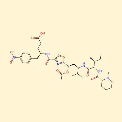 CC[C@H](C)[C@H](NC(=O)[C@H]1CCCCN1C)C(=O)N[C@H](C[C@@H](OC(C)=O)c1nc(C(=O)N[C@@H](Cc2ccc([N+](=O)[O-])cc2)C[C@@H](C)C(=O)O)cs1)C(C)C